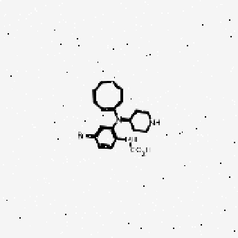 O=C(O)Nc1ccc(Br)cc1N(C1CCCCCCC1)C1CCNCC1